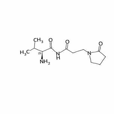 CC(C)[C@H](N)C(=O)NC(=O)CCN1CCCC1=O